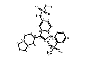 CCS(=O)(=O)Nc1ccc2[nH]cc(C3CCN4CCCC4C3)c2c1.O=S(=O)(O)c1ccccc1